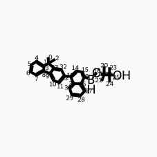 CC1(C)c2ccccc2-c2ccc(-c3ccc(BOC(C)(C)C(C)(C)O)c4ccccc34)cc21